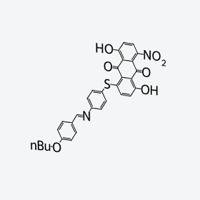 CCCCOc1ccc(C=Nc2ccc(Sc3ccc(O)c4c3C(=O)c3c(O)ccc([N+](=O)[O-])c3C4=O)cc2)cc1